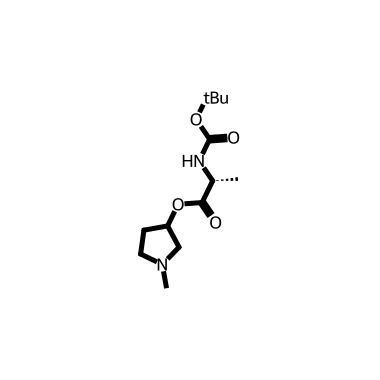 C[C@@H](NC(=O)OC(C)(C)C)C(=O)OC1CCN(C)C1